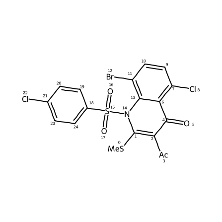 CSc1c(C(C)=O)c(=O)c2c(Cl)ccc(Br)c2n1S(=O)(=O)c1ccc(Cl)cc1